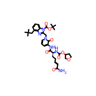 CC(C)(C)Cc1cccc2c1nc(Cn1cccc(NC(=O)[C@H](CC/C=C/C(N)=O)NC(=O)OC3CCOC3)c1=O)n2C(=O)OC(C)(C)C